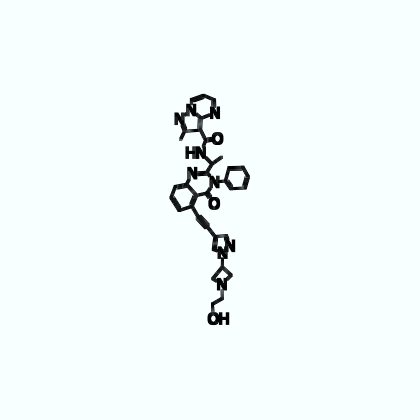 Cc1nn2cccnc2c1C(=O)NC(C)c1nc2cccc(C#Cc3cnn(C4CN(CCO)C4)c3)c2c(=O)n1-c1ccccc1